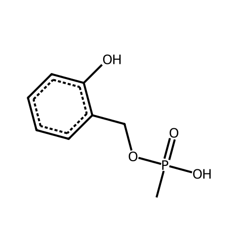 CP(=O)(O)OCc1ccccc1O